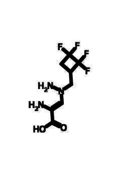 N/C(=C\N(N)CC1CC(F)(F)C1(F)F)C(=O)O